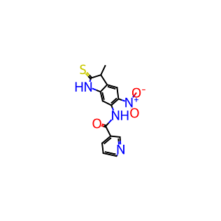 CC1C(=S)Nc2cc(NC(=O)c3cccnc3)c([N+](=O)[O-])cc21